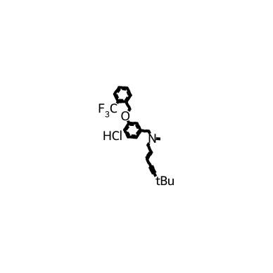 CN(CC=CC#CC(C)(C)C)Cc1cccc(OCc2ccccc2C(F)(F)F)c1.Cl